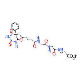 O=C(O)CCNC(=O)CNC(=O)CNC(=O)CCCCCC1(c2ccccc2)C(=O)NC(=O)NC1=O